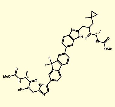 CCCN(Cc1ncc(-c2ccc3c(c2)C(F)(F)c2cc(-c4ccc5nc(CN(CC6(C)CC6)C(=O)[C@H](C)NC(=O)OC)[nH]c5c4)ccc2-3)[nH]1)C(=O)[C@H](C)NC(=O)OC